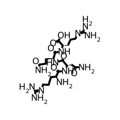 NC(=O)CC[C@H](NC(=O)[C@H](CC(N)=O)NC(=O)[C@@H](N)CCCN=C(N)N)C(=O)N[C@@H](CCCN=C(N)N)C(=O)O